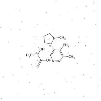 C[C@H](O)C(=O)O.Cc1cncc([C@@H]2CCCN2C)c1C